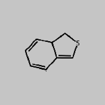 [C]1=CC=CC2CSC=C12